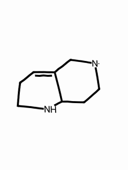 C1=C2C[N]CCC2NCC1